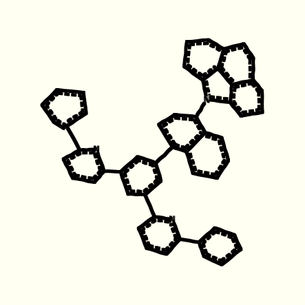 c1ccc(-c2cccc(-c3cc(-c4cccc(-c5ccccc5)n4)cc(-c4ccc(-n5c6cccc7ccc8cccc5c8c76)c5ccccc45)c3)n2)cc1